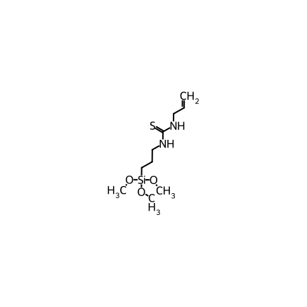 C=CCNC(=S)NCCC[Si](OC)(OC)OC